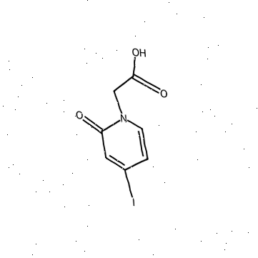 O=C(O)Cn1ccc(I)cc1=O